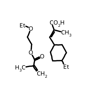 C=C(C)C(=O)OCCOCC.CCC1CCC(C=C(C)C(=O)O)CC1